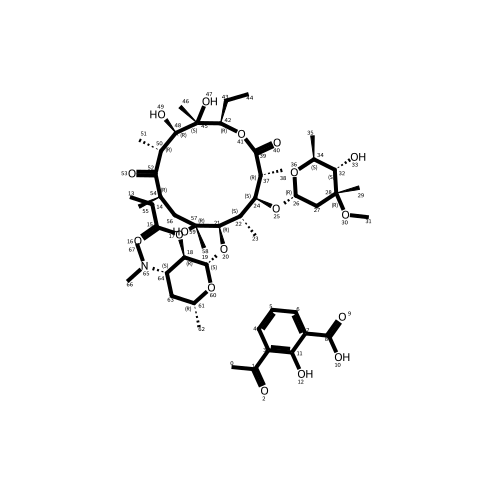 CC(=O)c1cccc(C(=O)O)c1O.CCC(=O)O[C@H]1[C@H](O[C@@H]2[C@@H](C)[C@H](O[C@H]3C[C@@](C)(OC)[C@@H](O)[C@H](C)O3)[C@@H](C)C(=O)O[C@H](CC)[C@@](C)(O)[C@H](O)[C@@H](C)C(=O)[C@H](C)C[C@@]2(C)O)O[C@H](C)C[C@@H]1N(C)C